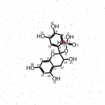 O=P(O)(O)OC1(c2ccc(O)c(O)c2)Oc2cc(O)cc(O)c2CC1O